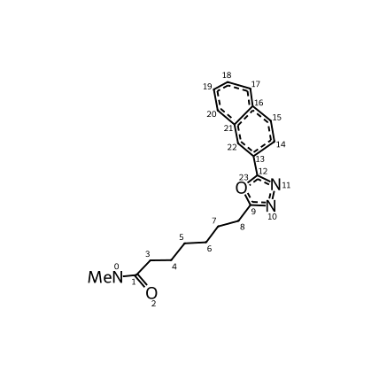 CNC(=O)CCCCCCc1nnc(-c2ccc3ccccc3c2)o1